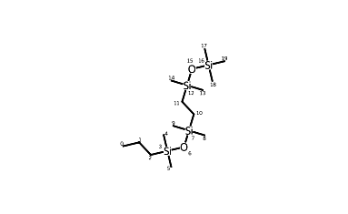 CCC[Si](C)(C)O[Si](C)(C)CC[Si](C)(C)O[Si](C)(C)C